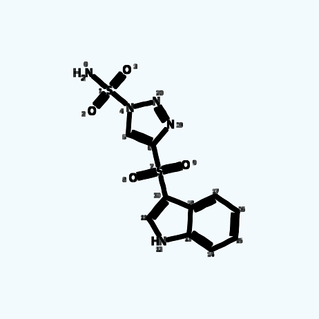 NS(=O)(=O)n1cc(S(=O)(=O)c2c[nH]c3ccccc23)nn1